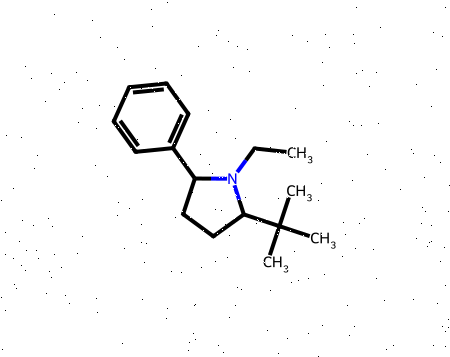 CCN1C(c2ccccc2)CCC1C(C)(C)C